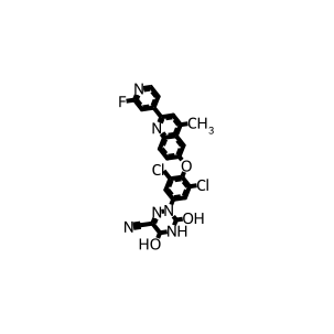 Cc1cc(-c2ccnc(F)c2)nc2ccc(Oc3c(Cl)cc(N4N=C(C#N)C(O)NC4O)cc3Cl)cc12